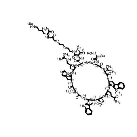 C=C(C)[C@@H]1NC(=O)[C@@H](NC(=O)[C@@H](NC(C)=O)[C@@H](C)CC)CSSC[C@@H](C(=O)N[C@H](C(=O)NCCOCCOCC(=O)N[C@@H](CCCCNC(C)(C)C)C(N)=O)[C@@H](C)O)NC(=O)[C@H](CCCNC(=N)N)NC(=O)[C@H](Cc2cnc[nH]2)NC(=O)[C@H](C)NC(=O)CNC(=O)[C@H](Cc2c[nH]c3ccccc23)NC(=O)[C@H](CC(=O)O)NC(=O)C(CCC(N)=O)NC(=O)[C@H](Cc2cn(C)c3ccccc23)NC1=O